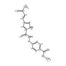 COC(=O)c1ccc(CNC(=O)c2cc(/C=C/C(C)=O)c[nH]2)cc1